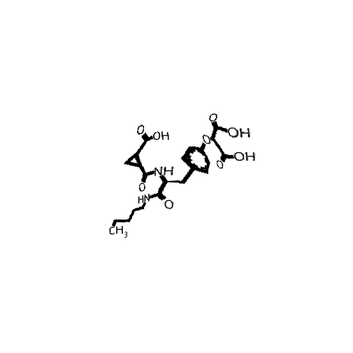 CCCCCNC(=O)[C@H](Cc1ccc(OC(C(=O)O)C(=O)O)cc1)NC(=O)C1CC1C(=O)O